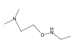 CCNOCCN(C)C